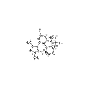 Cc1nn(C)c(C)c1-c1cc(F)cc2c1-c1ccccc1C2(O)C(F)(F)F